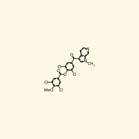 COc1c(Cl)cc(C(=O)Oc2c(Cl)cc(C(=O)c3cn(C)c4cnccc34)cc2Cl)cc1Cl